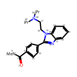 CNC(=O)c1ccc(-c2nc3ccccc3n2CCN(C(C)C)C(C)C)cc1